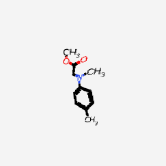 COC(=O)CN(C)c1ccc(C)cc1